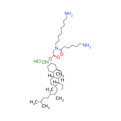 CC(C)CCC[C@@H](C)[C@H]1CC[C@H]2[C@@H]3CC=C4C[C@@H](OC(=O)CN(CCCCCCCCN)C(=O)CCCCCN)CC[C@]4(C)[C@H]3CC[C@]12C.Cl.Cl